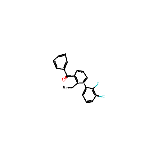 CC(=O)Cc1c(C(=O)c2ccccc2)cccc1-c1cccc(F)c1F